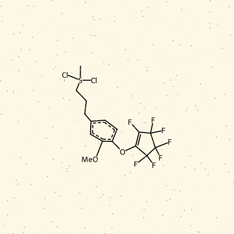 COc1cc(CCCS(C)(Cl)Cl)ccc1OC1=C(F)C(F)(F)C(F)(F)C1(F)F